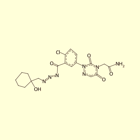 NC(=O)Cn1c(=O)cnn(-c2ccc(Cl)c(C(=O)N=[N+]=NCC3(O)CCCCC3)c2)c1=O